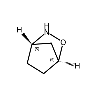 C1C[C@H]2C[C@H]1NO2